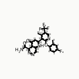 Cc1cc(F)ccc1Oc1ncc(C(F)(F)F)c(C)c1-c1cc(=O)c2c(C(N)=O)nncc2[nH]1